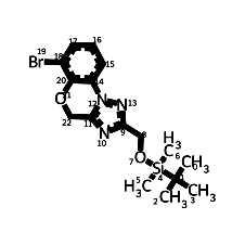 CC(C)(C)[Si](C)(C)OCc1nc2n(n1)-c1cccc(Br)c1OC2